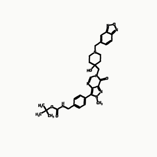 Cn1nc2c(=O)n(CC3(O)CCN(Cc4ccc5nonc5c4)CC3)cnc2c1-c1ccc(CNC(=O)OC(C)(C)C)cc1